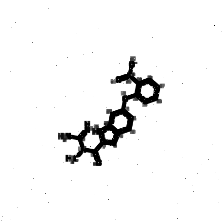 CN(C(=N)N)C(=O)c1cc2ccc(Oc3ccccc3[N+](=O)[O-])cc2[nH]1